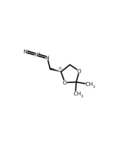 CC1(C)OC[C@H](CN=[N+]=[N-])O1